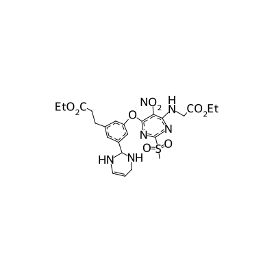 CCOC(=O)CCc1cc(Oc2nc(S(C)(=O)=O)nc(NCC(=O)OCC)c2[N+](=O)[O-])cc(C2NC=CCN2)c1